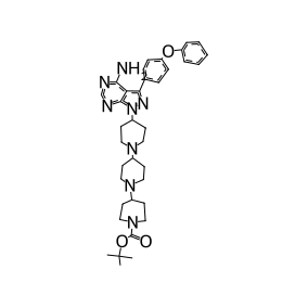 CC(C)(C)OC(=O)N1CCC(N2CCC(N3CCC(n4nc(-c5ccc(Oc6ccccc6)cc5)c5c(N)ncnc54)CC3)CC2)CC1